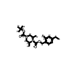 CCc1ccc(COC(=O)N2C(C)CN(C(=O)OC(C)(C)C)CC2C)c(F)c1